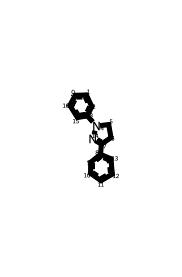 [c]1ccc(N2CCC(c3ccccc3)=N2)cc1